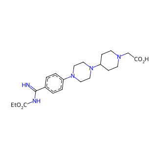 CCOC(=O)NC(=N)c1ccc(N2CCN(C3CCN(CC(=O)O)CC3)CC2)cc1